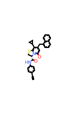 C#Cc1ccc(NC(=O)[C@@H]2CSc3c(C4CC4)c(Cc4cccc5ccccc45)cc(=O)n32)cc1